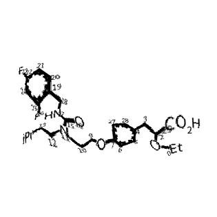 CCOC(Cc1ccc(OCCN(CCC(C)C)C(=O)NCc2ccc(F)cc2F)cc1)C(=O)O